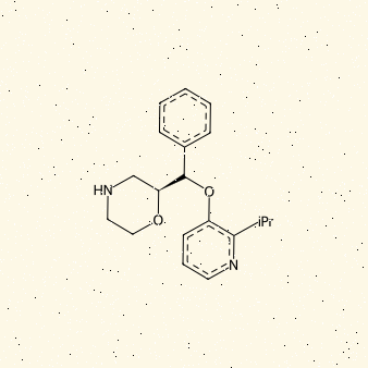 CC(C)c1ncccc1OC(c1ccccc1)[C@@H]1CNCCO1